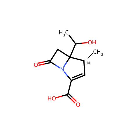 CC(O)C12CC(=O)N1C(C(=O)O)=C[C@H]2C